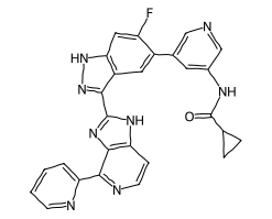 O=C(Nc1cncc(-c2cc3c(-c4nc5c(-c6ccccn6)nccc5[nH]4)n[nH]c3cc2F)c1)C1CC1